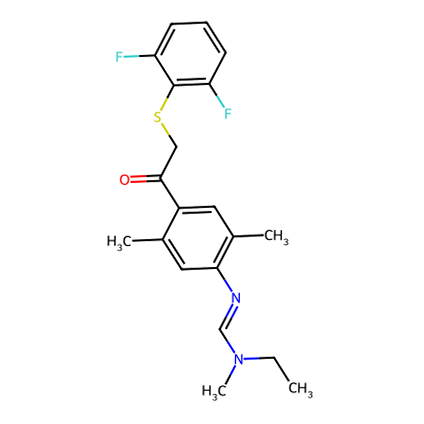 CCN(C)C=Nc1cc(C)c(C(=O)CSc2c(F)cccc2F)cc1C